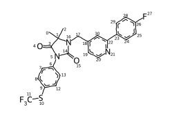 CC1(C)C(=O)N(c2ccc(SC(F)(F)F)cc2)C(=O)N1Cc1ccnc(-c2ccc(F)cc2)c1